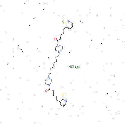 CSc1ncccc1C=CC=CC(=O)N1CCN(CCCCCCCCN2CCN(C(=O)C=CC=Cc3cccnc3SC)CC2)CC1.Cl.Cl